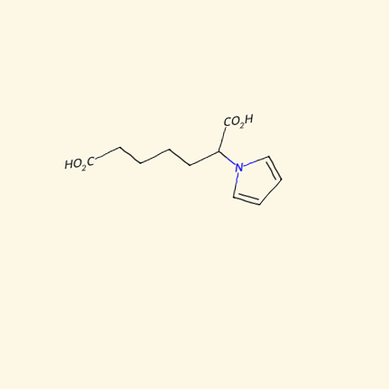 O=C(O)CCCCC(C(=O)O)n1cccc1